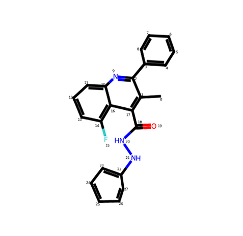 Cc1c(-c2ccccc2)nc2cccc(F)c2c1C(=O)NNc1ccccc1